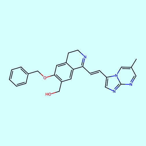 Cc1cnc2ncc(/C=C/C3=NCCc4cc(OCc5ccccc5)c(CO)cc43)n2c1